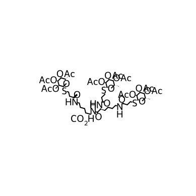 CC(=O)O[C@@H]1[C@H](OC(C)=O)[C@H](C)O[C@H](SCCC(=O)NCCCC[C@H](NC(=O)[C@H](CCCCNC(=O)CCS[C@H]2O[C@@H](C)[C@@H](OC(C)=O)[C@@H](OC(C)=O)[C@@H]2OC(C)=O)NC(=O)CCS[C@H]2O[C@@H](C)[C@@H](OC(C)=O)[C@@H](OC(C)=O)[C@@H]2OC(C)=O)C(=O)O)[C@H]1OC(C)=O